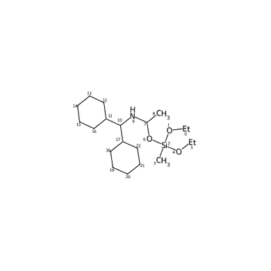 CCO[Si](C)(OCC)OC(C)NC(C1CCCCC1)C1CCCCC1